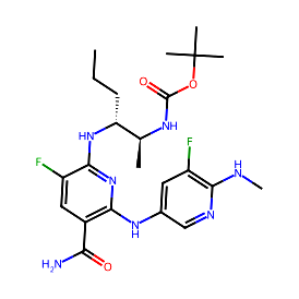 CCC[C@@H](Nc1nc(Nc2cnc(NC)c(F)c2)c(C(N)=O)cc1F)[C@H](C)NC(=O)OC(C)(C)C